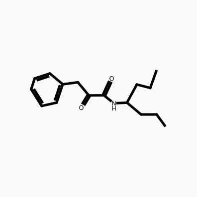 CCCC(CCC)NC(=O)C(=O)Cc1ccccc1